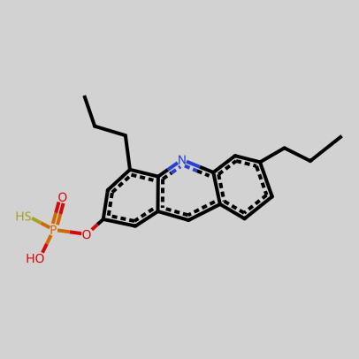 CCCc1ccc2cc3cc(OP(=O)(O)S)cc(CCC)c3nc2c1